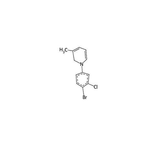 CC1=CC=CN(c2ccc(Br)c(Cl)c2)C1